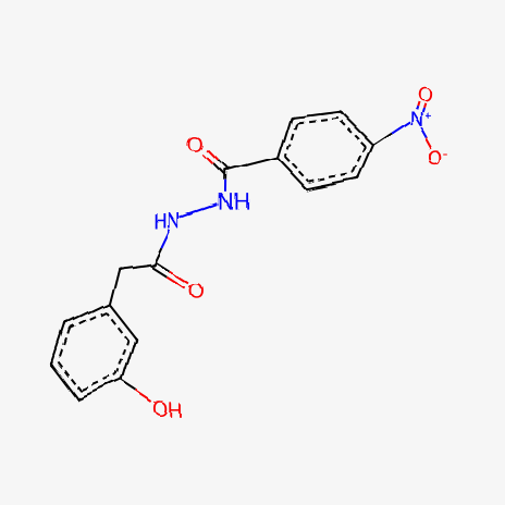 O=C(Cc1cccc(O)c1)NNC(=O)c1ccc([N+](=O)[O-])cc1